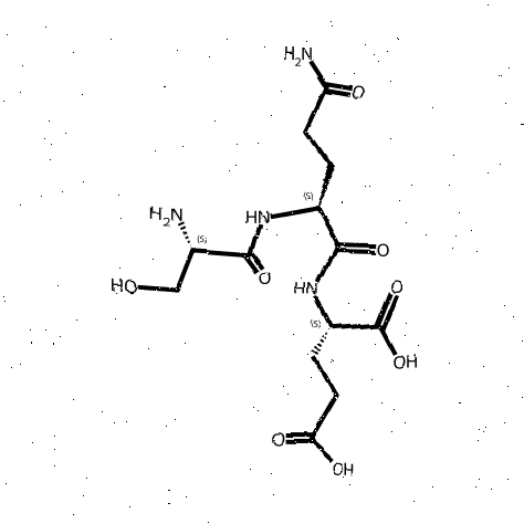 NC(=O)CC[C@H](NC(=O)[C@@H](N)CO)C(=O)N[C@@H](CCC(=O)O)C(=O)O